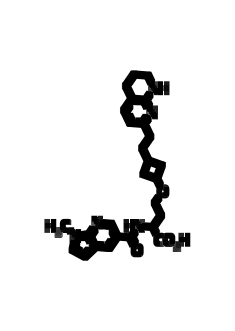 Cn1ccc2cc(C(=O)NC(CCOC3CC(CCc4ccc5c(n4)NCCC5)C3)C(=O)O)cnc21